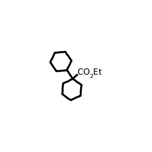 CCOC(=O)C1(C2CCCCC2)CCCCC1